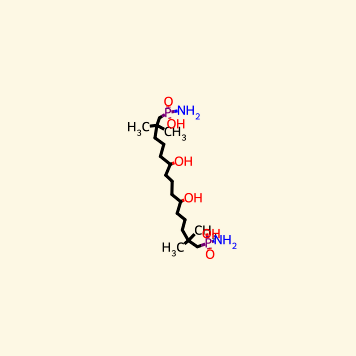 CC(C)(CCCC(O)CCCC(O)CCCC(C)(C)CP(N)(=O)O)CP(N)(=O)O